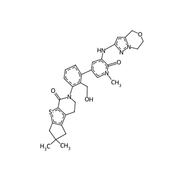 Cn1cc(-c2cccc(N3CCc4c(sc5c4CC(C)(C)C5)C3=O)c2CO)cc(Nc2cc3n(n2)CCOC3)c1=O